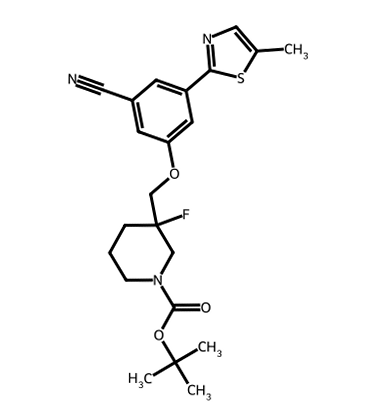 Cc1cnc(-c2cc(C#N)cc(OCC3(F)CCCN(C(=O)OC(C)(C)C)C3)c2)s1